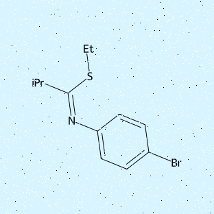 CCSC(=Nc1ccc(Br)cc1)C(C)C